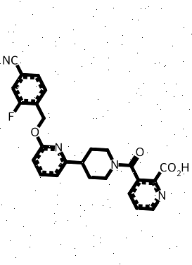 N#Cc1ccc(COc2cccc(C3CCN(C(=O)c4cccnc4C(=O)O)CC3)n2)c(F)c1